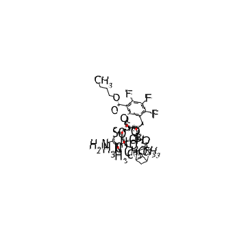 CCCCOC(=O)c1c(F)c(F)c(F)c(C[C@H](Sc2nnc(N)s2)B2OC3CC4CC(C4(C)C)[C@]3(C)O2)c1OC(=O)OC(C)(C)C